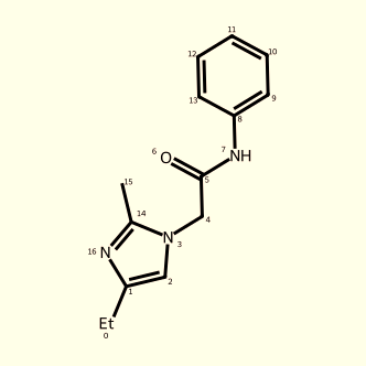 CCc1cn(CC(=O)Nc2ccccc2)c(C)n1